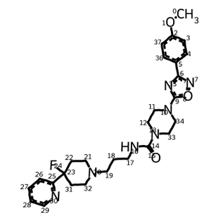 COc1ccc(-c2noc(N3CCN(C(=O)NCCCN4CCC(F)(c5ccccn5)CC4)CC3)n2)cc1